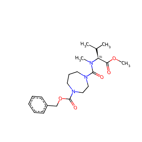 COC(=O)[C@H](C(C)C)N(C)C(=O)N1CCCN(C(=O)OCc2ccccc2)CC1